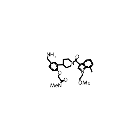 CNC(=O)COc1ccc(CN)cc1C1CCN(C(=O)c2cn(CCOC)c3c(C)cccc23)CC1